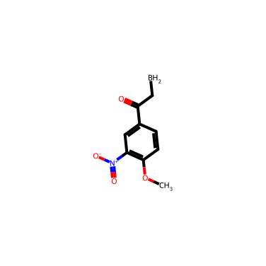 BCC(=O)c1ccc(OC)c([N+](=O)[O-])c1